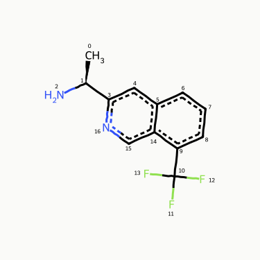 C[C@H](N)c1cc2cccc(C(F)(F)F)c2cn1